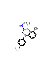 N#Cc1cccc2c1CC(NC(=O)O)CN2c1ccc(C(F)(F)F)cc1